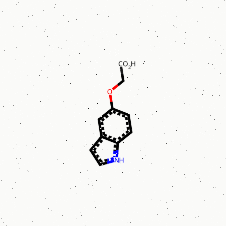 O=C(O)COc1ccc2[nH]ccc2c1